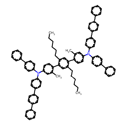 CCCCCCc1cc(-c2ccc(N(c3ccc(-c4ccccc4)cc3)c3ccc(-c4ccc(-c5ccccc5)cc4)cc3)cc2C)c(CCCCCC)cc1-c1ccc(N(c2ccc(-c3ccccc3)cc2)c2ccc(-c3ccc(-c4ccccc4)cc3)cc2)cc1C